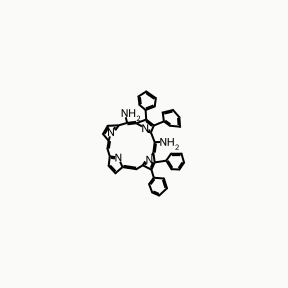 NC1=C2N=C(C=C3C=CC(=N3)C=C3C=CC(=N3)C(N)=C3N=C1C(c1ccccc1)=C3c1ccccc1)C(c1ccccc1)=C2c1ccccc1